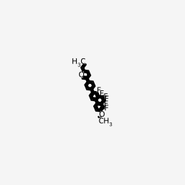 CCCC1CCC(C2CCC(c3ccc4c(c3F)C(F)(F)C(F)(F)c3c-4ccc(OCC)c3F)CC2)=CO1